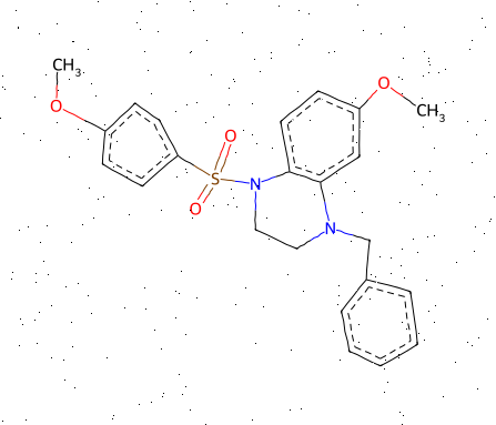 COc1ccc(S(=O)(=O)N2CCN(Cc3ccccc3)c3cc(OC)ccc32)cc1